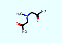 CN(CC(=O)N=O)CC(=O)N=O